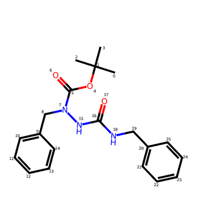 CC(C)(C)OC(=O)N(Cc1ccccc1)NC(=O)NCc1ccccc1